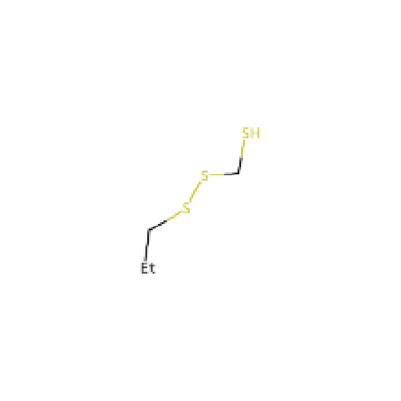 CCCSSCS